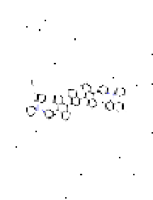 CCCCc1cccc(N(c2ccccc2)c2cccc(-c3c4ccccc4c(-c4ccc(-c5c6ccccc6c(-c6cccc(N(c7ccccc7)c7cccc(C)c7CCCC)c6)c6ccccc56)c5ccccc45)c4ccccc34)c2)c1C